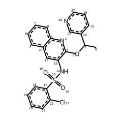 CC(Oc1nc2ccccc2cc1NS(=O)(=O)c1ccccc1Cl)c1cccnc1